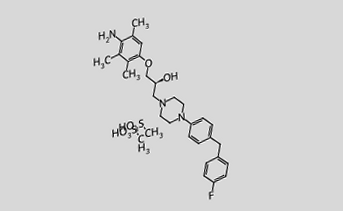 CS(=O)(=O)O.CS(=O)(=O)O.Cc1cc(OC[C@@H](O)CN2CCN(c3ccc(Cc4ccc(F)cc4)cc3)CC2)c(C)c(C)c1N